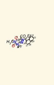 CCOC(=O)c1c2c(=O)n(C)c(=O)n(C(C)C)c2nn1Cc1cccc2ccccc12